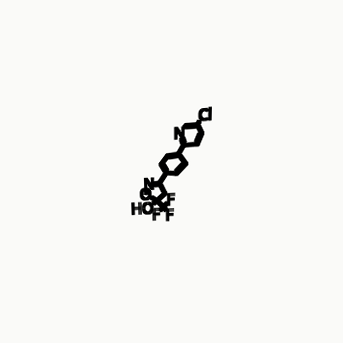 OC1(C(F)(F)F)CC(c2ccc(-c3ccc(Cl)cn3)cc2)=NO1